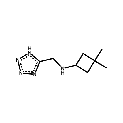 CC1(C)CC(NCc2nnn[nH]2)C1